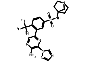 [2H]C([2H])([2H])c1ccc(S(=O)(=O)NC23CCN(CC2)C3)cc1-c1cnc(N)c(-n2cncn2)n1